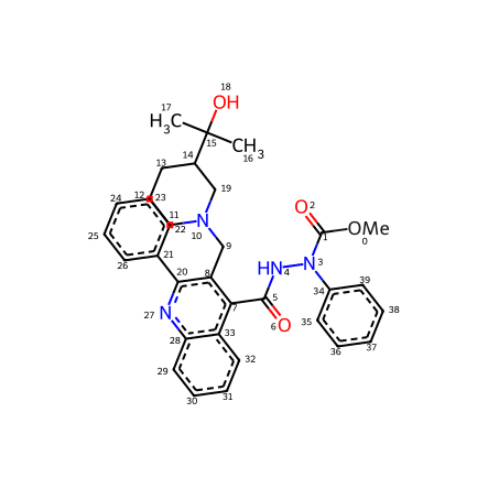 COC(=O)N(NC(=O)c1c(CN2CCCC(C(C)(C)O)C2)c(-c2ccccc2)nc2ccccc12)c1ccccc1